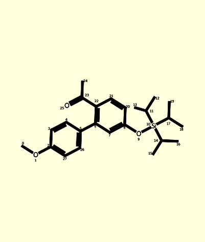 COc1ccc(-c2cc(O[Si](C(C)C)(C(C)C)C(C)C)ccc2C(C)=O)cc1